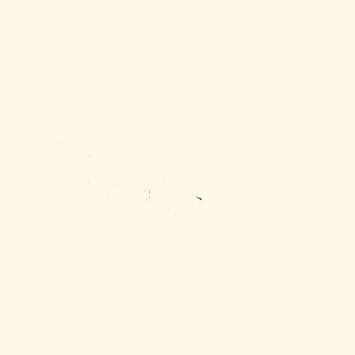 Cc1ccc(S(=O)(=O)C[C@](C)(O)C(=O)Nc2nnc(C#N)nn2)cc1